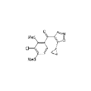 COc1ccc(C(=O)c2cnoc2C2CC2)c(SC)c1Cl